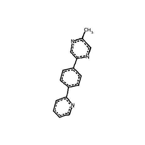 Cc1cnc(-c2ccc(-c3ccccn3)cc2)cn1